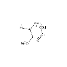 C=CC(=O)O.CCCCC(CC)COC